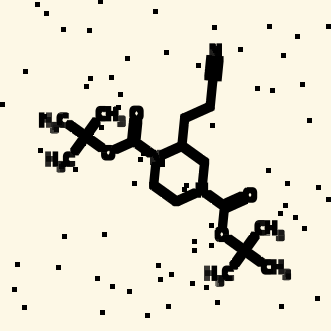 CC(C)(C)OC(=O)N1CCN(C(=O)OC(C)(C)C)C(CCC#N)C1